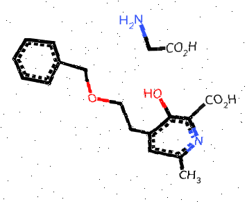 Cc1cc(CCOCc2ccccc2)c(O)c(C(=O)O)n1.NCC(=O)O